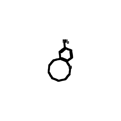 Nc1ccc2c(c1)CCCCCCCO2